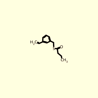 C=Cc1cccc(CSC(=O)CCC)c1